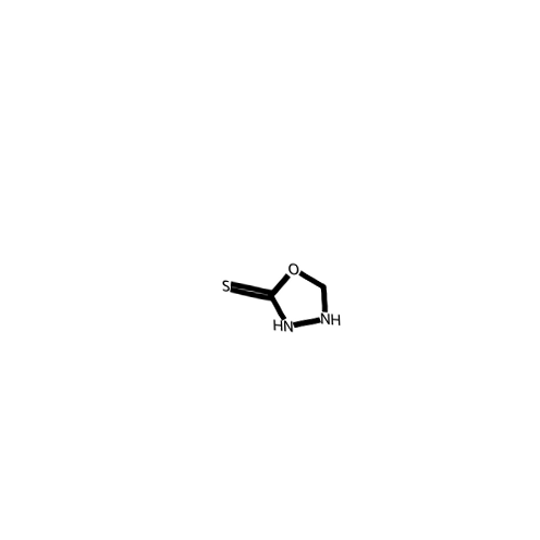 S=C1NNCO1